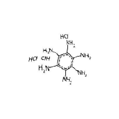 Cl.Cl.Cl.Nc1c(N)c(N)c(N)c(N)c1N